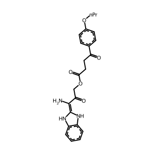 CCCOc1ccc(C(=O)CCC(=O)OCC(=O)C(N)=C2Nc3ccccc3N2)cc1